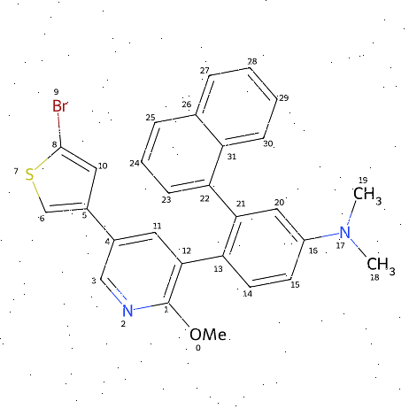 COc1ncc(-c2csc(Br)c2)cc1-c1ccc(N(C)C)cc1-c1cccc2ccccc12